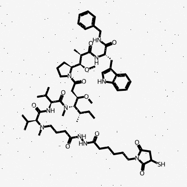 CC[C@H](C)[C@@H]([C@@H](CC(=O)N1CCC[C@H]1[C@H](OC)[C@@H](C)C(=O)N[C@@H](Cc1c[nH]c2ccccc12)C(=O)NCc1ccccc1)OC)N(C)C(=O)[C@@H](NC(=O)[C@H](C(C)C)N(C)CCCC(=O)NNC(=O)CCCCCN1C(=O)CC(S)C1=O)C(C)C